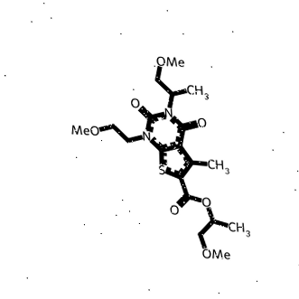 COCCn1c(=O)n(C(C)COC)c(=O)c2c(C)c(C(=O)OC(C)COC)sc21